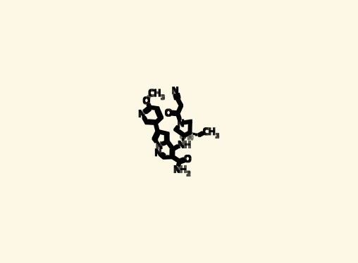 CC[C@H]1CN(C(=O)CC#N)C[C@H]1Nc1c(C(N)=O)cnn2cc(-c3ccc(OC)nc3)cc12